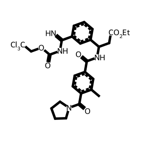 CCOC(=O)CC(NC(=O)c1ccc(C(=O)N2CCCC2)c(C)c1)c1cccc(C(=N)NC(=O)OCC(Cl)(Cl)Cl)c1